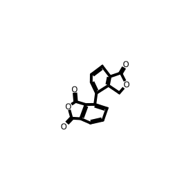 O=C1OCc2c1cccc2-c1cccc2c1C(=O)OC2=O